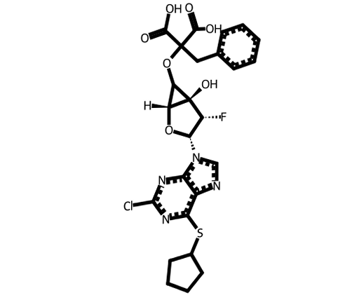 O=C(O)C(Cc1ccccc1)(OC1[C@H]2O[C@@H](n3cnc4c(SC5CCCC5)nc(Cl)nc43)[C@@H](F)[C@@]12O)C(=O)O